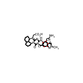 Cn1cc2c(CCN)c(Nc3nc(=O)n(-c4cccc5cccc(CCC(=O)O)c45)c(=O)n3Cc3ccc(F)c(C#N)c3)c(Cl)cc2n1